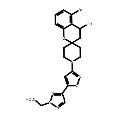 O=C(O)Cn1nnc(-c2cc(N3CCC4(CC3)CC(O)c3c(Br)cccc3O4)no2)n1